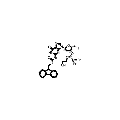 [2H]C[C@H]1O[C@@H](n2cnc3c(=O)[nH]c(NC(=O)OCC4c5ccccc5-c5ccccc54)nc32)C[C@H]1OP(OCCC#N)N(C(C)C)C(C)C